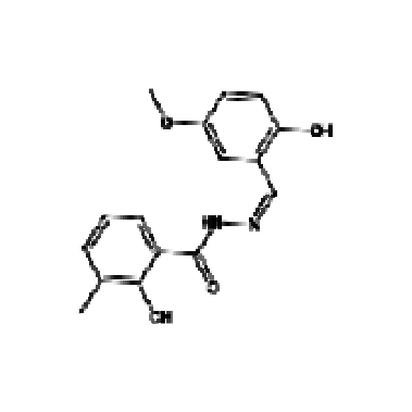 COc1ccc(O)c(/C=N\NC(=O)c2cccc(C)c2O)c1